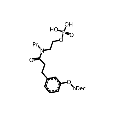 CCCCCCCCCCOc1cccc(CCC(=O)N(CCOP(=O)(O)O)C(C)C)c1